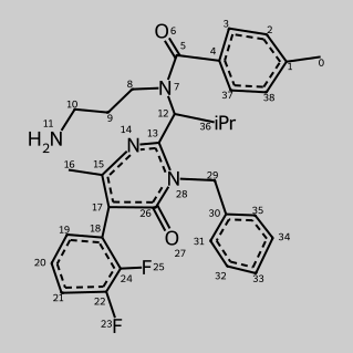 Cc1ccc(C(=O)N(CCCN)C(c2nc(C)c(-c3cccc(F)c3F)c(=O)n2Cc2ccccc2)C(C)C)cc1